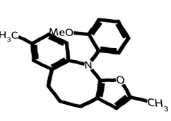 COc1ccccc1N1c2ccc(C)cc2CCCc2cc(C)oc21